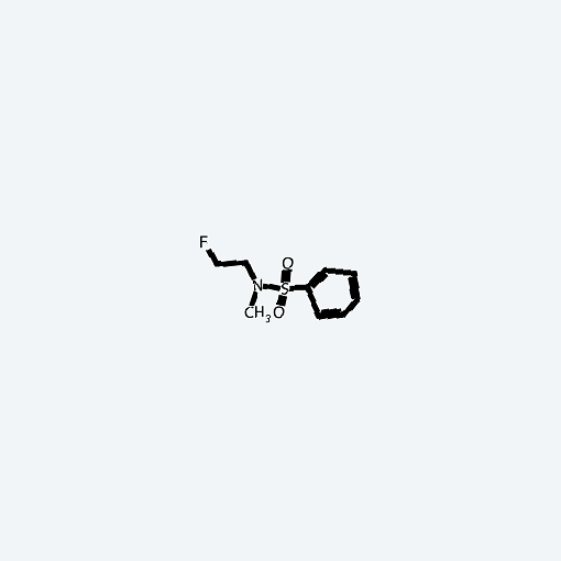 CN(CCF)S(=O)(=O)c1ccccc1